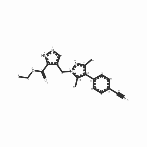 CCOC(=O)c1[nH]ncc1Cn1nc(C)c(-c2ccc(C#N)cc2)c1C